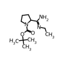 CC/N=C(\N)C1CCCN1C(=O)OC(C)(C)C